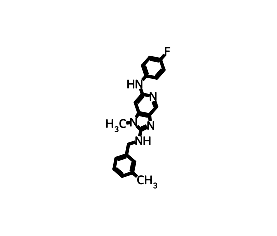 Cc1cccc(CNc2nc3cnc(Nc4ccc(F)cc4)cc3n2C)c1